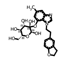 Cc1cc(O[C@]2(O)[C@@H](O)O[C@H](CO)[C@@H](O)[C@@H]2O)c2c(c1)ncn2CCc1ccc2c(c1)CCO2